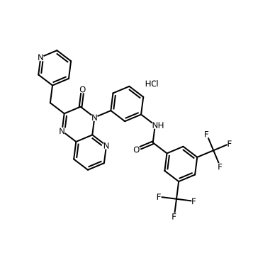 Cl.O=C(Nc1cccc(-n2c(=O)c(Cc3cccnc3)nc3cccnc32)c1)c1cc(C(F)(F)F)cc(C(F)(F)F)c1